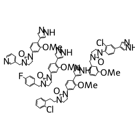 COc1cc(N2CCN(CCc3ccccc3Cl)C2=O)ccc1-c1cn[nH]c1.COc1cc(N2CCN(Cc3ccc(F)cc3)C2=O)ccc1-c1cn[nH]c1.COc1cc(N2CCN(Cc3cccnc3)C2=O)ccc1-c1cn[nH]c1.COc1cccc(CN2CCN(c3ccc(-c4cn[nH]c4)cc3Cl)C2=O)c1